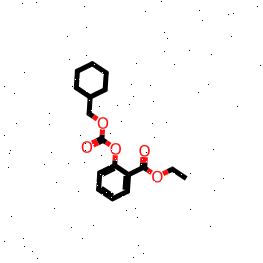 CCOC(=O)c1ccccc1OC(=O)OCC1CCCCC1